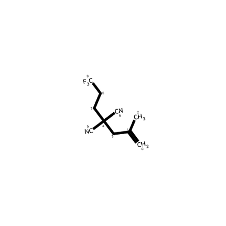 C=C(C)CC(C#N)(C#N)CCC(F)(F)F